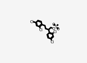 CS(=O)(=O)OCC(CCc1ccc(Cl)cc1Cl)c1ccc(Cl)cc1Cl